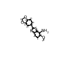 COc1ccc2nc(-c3ccc4c(c3)OCO4)sc2c1N